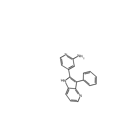 Nc1cc(-c2[nH]c3cccnc3c2-c2ccccc2)ccn1